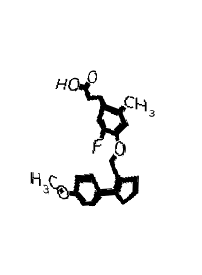 COc1ccc(C2=C(COc3cc(C)c(CCC(=O)O)cc3F)CCC2)cc1